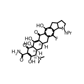 CCCN1CCC2Cc3c(O)c4c(c(F)c3C21)C[C@H]1C[C@H]2[C@H](N(C)C)C(O)=C(C(N)=O)C(=O)[C@@]2(O)C(O)=C1C4=O